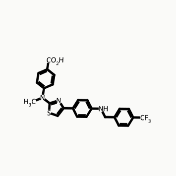 CN(c1ccc(C(=O)O)cc1)c1nc(-c2ccc(NCc3ccc(C(F)(F)F)cc3)cc2)cs1